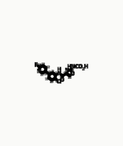 O=C(O)Nc1nc(C(=O)Nc2cc(-c3ccc(F)nc3)ccc2Cl)co1